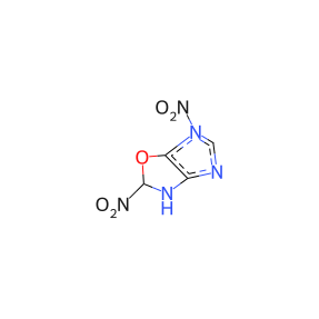 O=[N+]([O-])C1Nc2ncn([N+](=O)[O-])c2O1